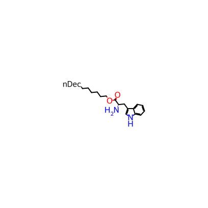 CCCCCCCCCCCCCCCCOC(=O)[C@@H](N)Cc1c[nH]c2ccccc12